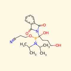 CC(C)N(C(C)C)P(OCCC#N)C(O)(CCCO)N1C(=O)c2ccccc2C1=O